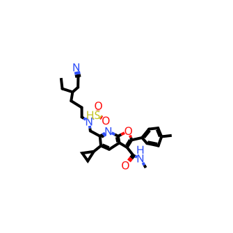 CCC(CC#N)CCCN(Cc1nc2oc(-c3ccc(C)cc3)c(C(=O)NC)c2cc1C1CC1)[SH](=O)=O